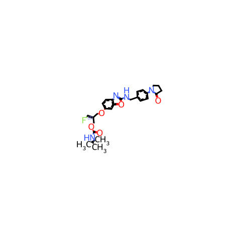 CC(C)(C)NC(=O)OC/C(=C\F)COc1ccc2nc(NCc3ccc(N4CCCC4=O)cc3)oc2c1